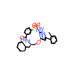 Cc1ccccc1-c1cc2nc(n1)NS(=O)(=O)c1cccc(c1)C(=O)N[C@H](CC1CCCCC1)CO2